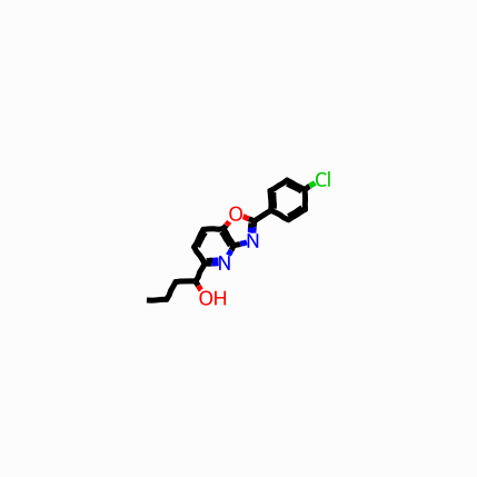 CCCC(O)c1ccc2oc(-c3ccc(Cl)cc3)nc2n1